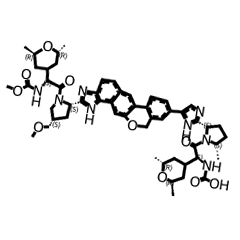 COC[C@H]1C[C@@H](c2nc3ccc4cc5c(cc4c3[nH]2)OCc2cc(-c3cnc([C@@H]4CC[C@H](C)N4C(=O)[C@@H](NC(=O)O)C4C[C@@H](C)O[C@H](C)C4)[nH]3)ccc2-5)N(C(=O)[C@@H](NC(=O)OC)C2C[C@@H](C)O[C@H](C)C2)C1